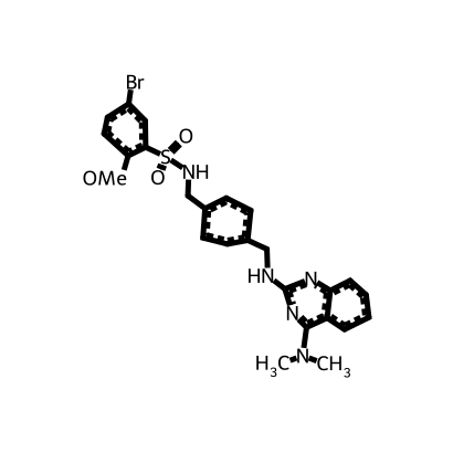 COc1ccc(Br)cc1S(=O)(=O)NCc1ccc(CNc2nc(N(C)C)c3ccccc3n2)cc1